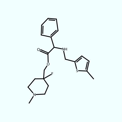 Cc1ccc(CNC(C(=O)OCC2(F)CCN(C)CC2)c2ccccc2)s1